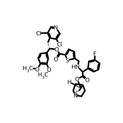 COc1ccc([C@H](Cc2c(Cl)cncc2Cl)OC(=O)c2ccc(CNC(C(=O)O[C@H]3CN4CCC3CC4)c3cccc(F)c3)s2)cc1OC